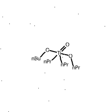 CCCC[O][Ti](=[O])([CH2]CC)([CH2]CC)[O]CCC